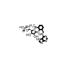 COc1cccc(CNc2ncnc3nc[nH]c23)c1OC1O[C@H](COP(=O)(O)O)[C@@H](O)[C@H]1O